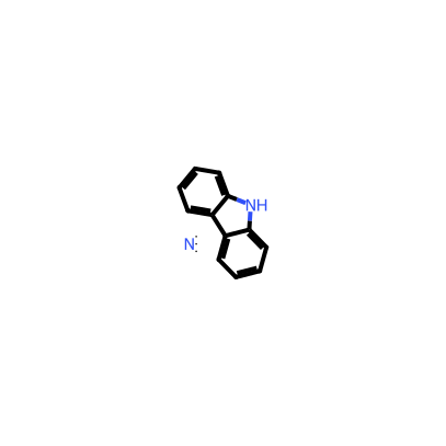 [N].c1ccc2c(c1)[nH]c1ccccc12